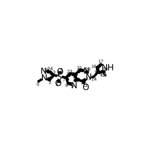 Cn1cc(S(=O)(=O)c2cnc3c(=O)n(Cc4cc[nH]n4)ncc3c2)cn1